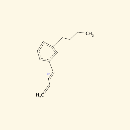 C=C/C=C/c1cccc(CCCC)c1